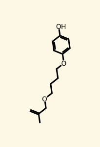 C=C(C)COCCCCOc1ccc(O)cc1